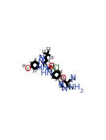 COc1ccc(-n2nc(C(C)(C)C)cc2NC(=O)Nc2ccc(Oc3ncnc(N)c3C#N)cc2Cl)cc1